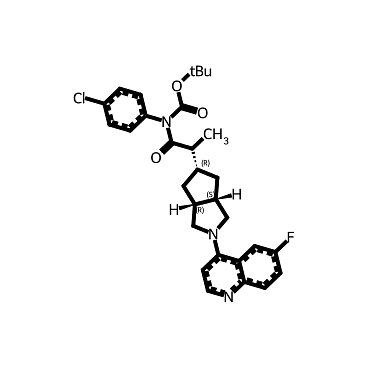 CC(C(=O)N(C(=O)OC(C)(C)C)c1ccc(Cl)cc1)[C@@H]1C[C@@H]2CN(c3ccnc4ccc(F)cc34)C[C@@H]2C1